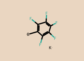 [B]c1c(F)c(F)c(F)c(F)c1F.[K]